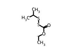 C[CH]OC(=O)SSC(C)C